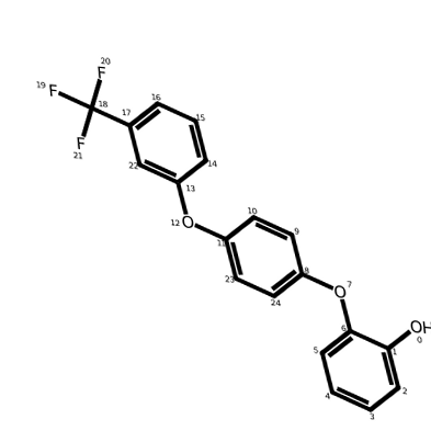 Oc1ccccc1Oc1ccc(Oc2cccc(C(F)(F)F)c2)cc1